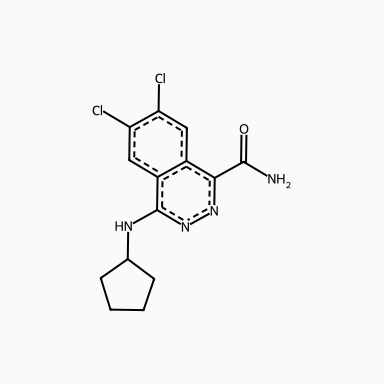 NC(=O)c1nnc(NC2CCCC2)c2cc(Cl)c(Cl)cc12